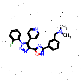 CN(C)Cc1cccc(-c2noc(-c3nnn(-c4ccccc4F)c3-c3ccncc3)n2)c1